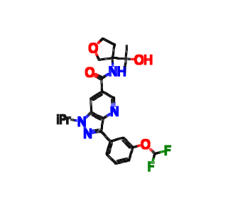 CC(C)n1nc(-c2cccc(OC(F)F)c2)c2ncc(C(=O)NC3(C(C)(C)O)CCOC3)cc21